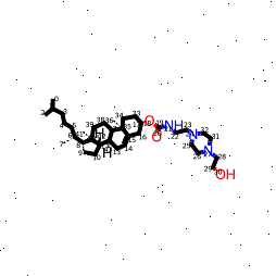 CC(C)CCC[C@@H](C)[C@H]1CC[C@H]2[C@@H]3CC=C4C[C@@H](OC(=O)NCCN5CCN(CCO)CC5)CC[C@]4(C)C3CC[C@]12C